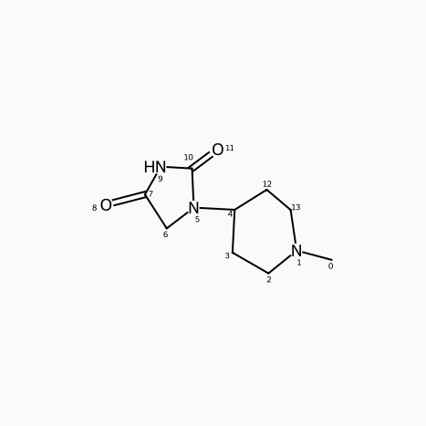 CN1CCC(N2CC(=O)NC2=O)CC1